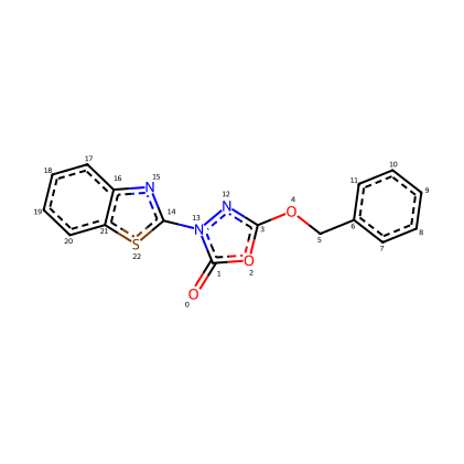 O=c1oc(OCc2ccccc2)nn1-c1nc2ccccc2s1